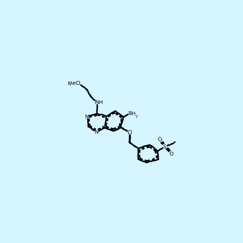 Bc1cc2c(NCCOC)ncnc2cc1OCc1cccc(S(C)(=O)=O)c1